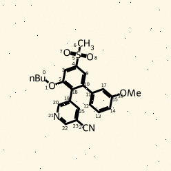 CCCCOc1cc(S(C)(=O)=O)cc(-c2cccc(OC)c2)c1-c1cncc(C#N)c1